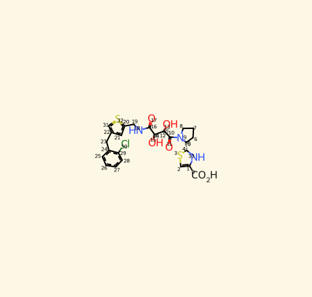 O=C(O)C1=CSC([C@H]2CCCN2C(=O)[C@H](O)[C@@H](O)C(=O)NCc2cc(Cc3ccccc3Cl)cs2)N1